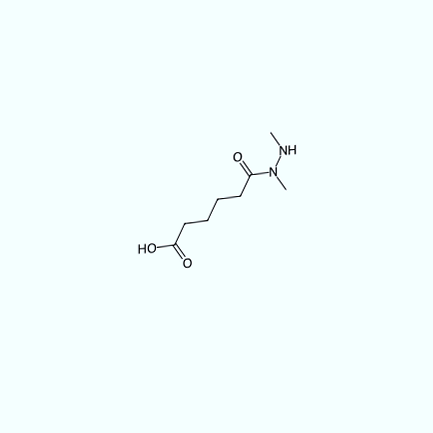 CNN(C)C(=O)CCCCC(=O)O